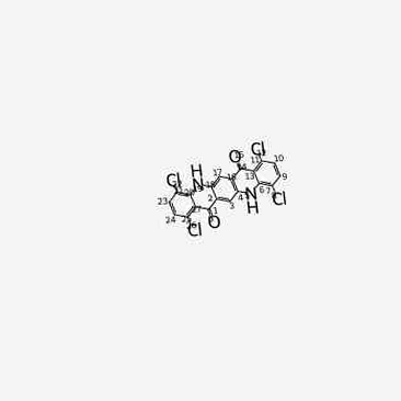 O=c1c2cc3[nH]c4c(Cl)ccc(Cl)c4c(=O)c3cc2[nH]c2c(Cl)ccc(Cl)c12